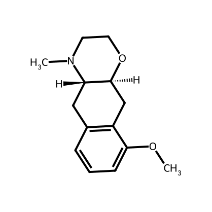 COc1cccc2c1C[C@@H]1OCCN(C)[C@H]1C2